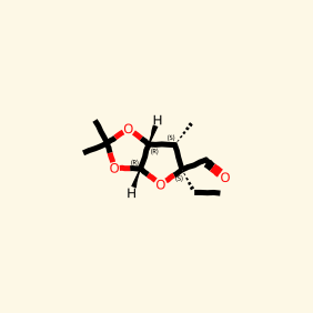 CC[C@]1(C=O)O[C@@H]2OC(C)(C)O[C@@H]2[C@@H]1C